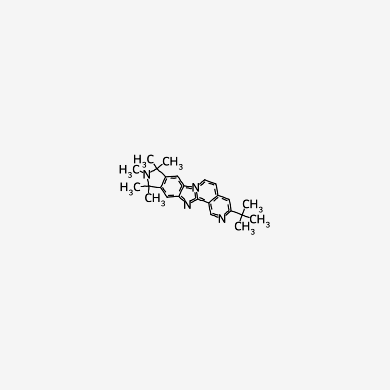 CN1C(C)(C)c2cc3nc4c5cnc(C(C)(C)C)cc5ccn4c3cc2C1(C)C